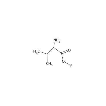 CC(C)[C@H](N)C(=O)OF